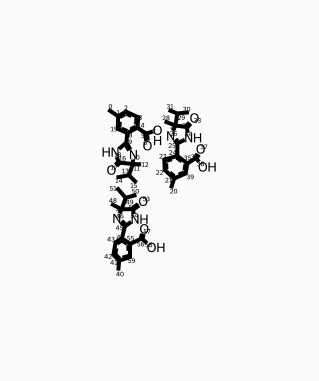 Cc1ccc(C(=O)O)c(C2=NC(C)(C(C)C)C(=O)N2)c1.Cc1ccc(C2=NC(C)(C(C)C)C(=O)N2)c(C(=O)O)c1.Cc1ccc(C2=NC(C)(C(C)C)C(=O)N2)c(C(=O)O)c1